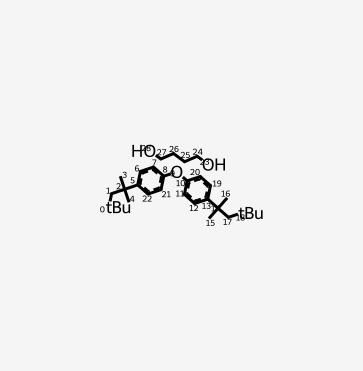 CC(C)(C)CC(C)(C)c1ccc(Oc2ccc(C(C)(C)CC(C)(C)C)cc2)cc1.OCCCCO